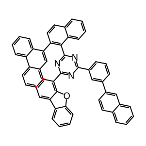 c1cc(-c2ccc3ccccc3c2)cc(-c2nc(-c3c(-c4cc5ccccc5c5ccccc45)ccc4ccccc34)nc(-c3cccc4c3oc3ccccc34)n2)c1